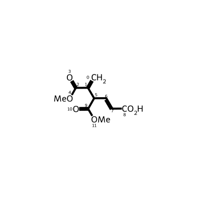 C=C(C(=O)OC)C(C=CC(=O)O)C(=O)OC